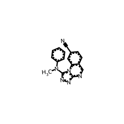 CN(c1ccccc1)c1nnc2ncc3ccc(C#N)cc3n12